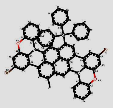 Cc1cc2c3c(cc4c([Si](c5ccccc5)(c5ccccc5)c5ccccc5)cc5c6c(cc1c3c46)B1c3ccccc3Oc3cc(Br)cc-5c31)B1c3ccccc3Oc3cc(Br)cc-2c31